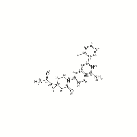 Cc1ccncc1-c1cc2cc(N3CCC4(CC3=O)CC4C(N)=O)ncc2c(N)n1